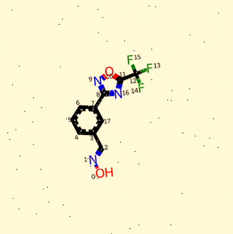 ON=Cc1cccc(-c2noc(C(F)(F)F)n2)c1